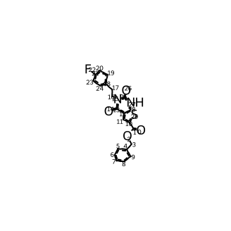 O=C(OCc1ccccc1)c1cc2c(=O)n(CCc3ccc(F)cc3)c(=O)[nH]c2s1